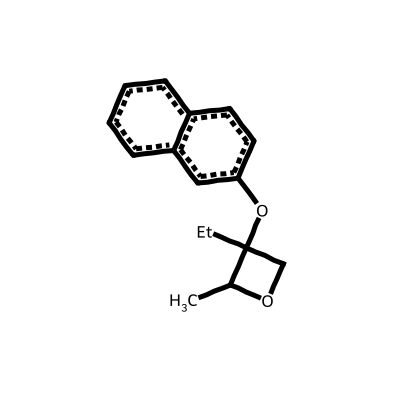 CCC1(Oc2ccc3ccccc3c2)COC1C